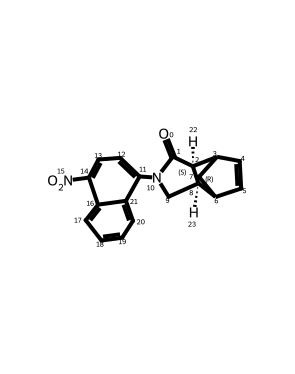 O=C1[C@H]2C3C=CC(C3)[C@H]2CN1c1ccc([N+](=O)[O-])c2ccccc12